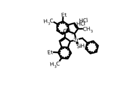 CCc1c(C)ccc2c1C=C(C)[CH]2[Zr](=[SiH2])([CH2]c1ccccc1)[CH]1C(C)=Cc2c1ccc(C)c2CC.Cl.Cl